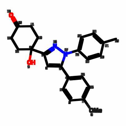 COc1ccc(-c2cc(C3(O)CCC(=O)CC3)nn2-c2ccc(C)cc2)cc1